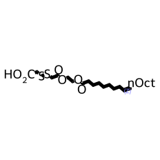 CCCCCCCC/C=C\CCCCCCCC(=O)OCCOC(=O)CSSCC(=O)O